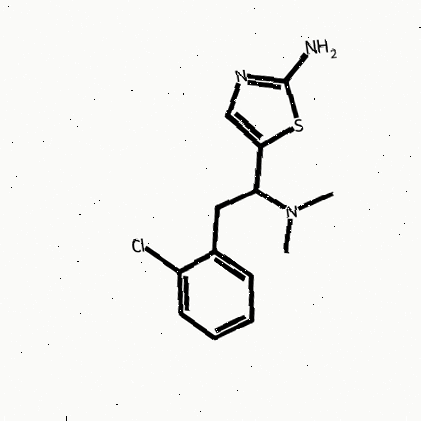 CN(C)C(Cc1ccccc1Cl)c1cnc(N)s1